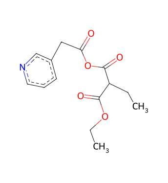 CCOC(=O)C(CC)C(=O)OC(=O)Cc1cccnc1